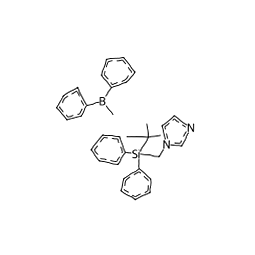 CB(c1ccccc1)c1ccccc1.CC(C)(C)[Si](Cn1ccnc1)(c1ccccc1)c1ccccc1